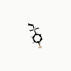 C=C[Si](C)(C)c1ccc(Br)cc1